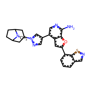 CN1C2CCC1CC(n1cc(-c3cnc(N)c4oc(-c5cccc6cnsc56)cc34)cn1)C2